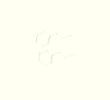 OCCc1ccccc1.OCCc1ccccc1